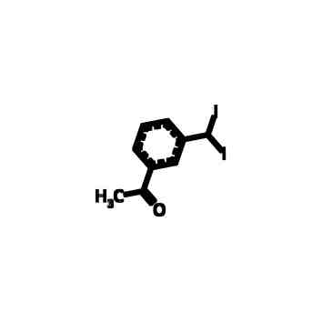 CC(=O)c1cccc(C(I)I)c1